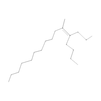 CCCCCCCCCCC(C)=C(CCC)CCCC